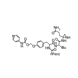 CCCCCC(=O)NC(Cc1ccc(OCOC(=O)Nc2ccncc2)cc1)C(=O)NC(C(=O)NC1(CCC(N)=O)CN1)C(C)CC